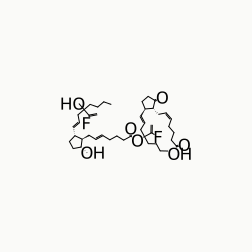 C=C(F)C(O)(CC=C[C@H]1CC[C@@H](O)[C@@H]1CC=CCCCC(=O)OC(C/C=C/[C@H]1CCC(=O)[C@@H]1C/C=C\CCCC(=O)O)(CCCC)C(=C)F)CCCC